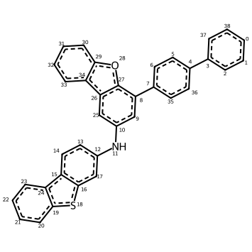 c1ccc(-c2ccc(-c3cc(Nc4ccc5c(c4)sc4ccccc45)cc4c3oc3ccccc34)cc2)cc1